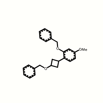 COc1ccc(C2CC(OCc3ccccc3)C2)c(OCc2ccccc2)c1